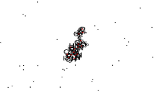 Nc1ncnc2c1c(-c1cccc(O)c1)nn2CC(c1cccc(Cl)c1)c1nc2cccc(C#CCCC(=O)N3CCOCC3)c2c(=O)[nH]1